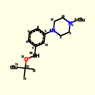 CC(C)(C)N1CCN(c2cccc(BOC(C)(C)C(C)(C)C)c2)CC1